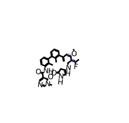 C=C(/C=C(OC)\C(CN[C@@H]1CNC(=O)C1)=C(/C)F)c1cccc(-c2cccc(NC(=O)c3cncn(C)c3=O)c2C)c1C